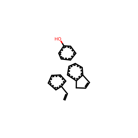 C1=Cc2ccccc2C1.C=Cc1ccccc1.Oc1ccccc1